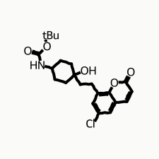 CC(C)(C)OC(=O)NC1CCC(O)(CCc2cc(Cl)cc3ccc(=O)oc23)CC1